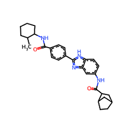 CC1CCCCC1NC(=O)c1ccc(-c2nc3cc(NC(=O)C4CC5CCC4C5)ccc3[nH]2)cc1